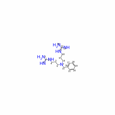 N=C(N)NCCCN(CCCNC(=N)N)Cc1ccccc1